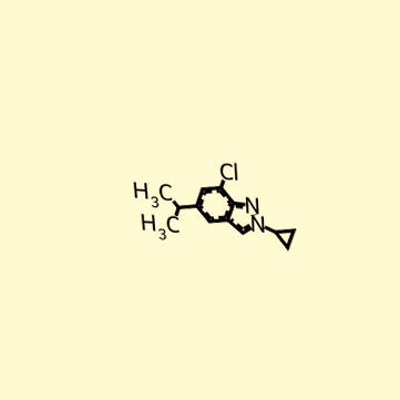 CC(C)c1cc(Cl)c2nn(C3CC3)cc2c1